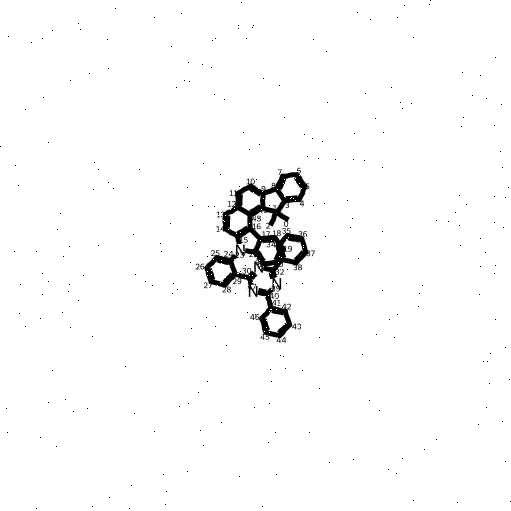 CC1(C)c2ccccc2-c2ccc3ccc4c(c5ccccc5n4-c4ccccc4-c4nc(-c5ccccc5)nc(-c5ccccc5)n4)c3c21